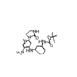 CC(C)(C)OC(=O)N[C@H]1CCC[C@@H](Nc2cc(N3CCNC3=O)ncc2N)C1